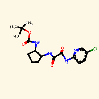 CC(C)(C)OC(=O)NC1CCCC1NC(=O)C(=O)Nc1ccc(Cl)cn1